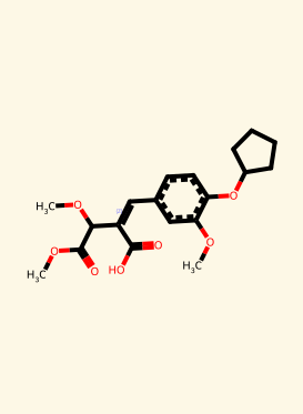 COC(=O)C(OC)/C(=C/c1ccc(OC2CCCC2)c(OC)c1)C(=O)O